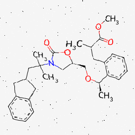 COC(=O)C(C)Cc1ccccc1[C@@H](C)OC[C@H]1CN(C(C)(C)CC2Cc3ccccc3C2)C(=O)O1